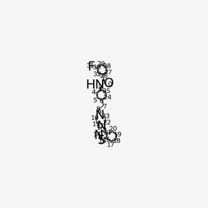 O=C(Nc1ccc(CCN2CCN(c3nsc4ccccc34)CC2)cc1)c1cccc(F)c1